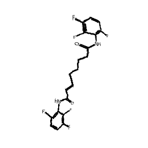 O=C(CCCCCCC(=O)Nc1c(F)ccc(F)c1F)Nc1c(F)ccc(F)c1F